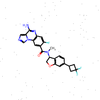 CN(C(=O)c1cc2c(cc1F)nc(N)c1cncn12)[C@@H]1COc2cc(C3CC(F)(F)C3)ccc21